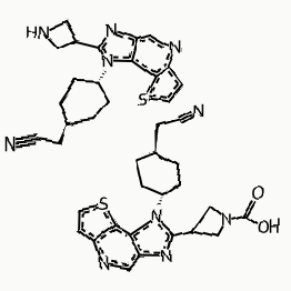 N#CC[C@H]1CC[C@H](n2c(C3CN(C(=O)O)C3)nc3cnc4ccsc4c32)CC1.N#CC[C@H]1CC[C@H](n2c(C3CNC3)nc3cnc4ccsc4c32)CC1